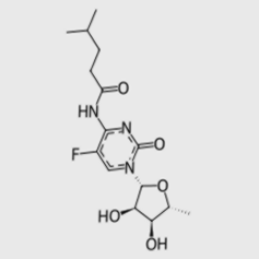 CC(C)CCC(=O)Nc1nc(=O)n([C@@H]2O[C@H](C)[C@@H](O)[C@H]2O)cc1F